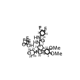 COc1ccc(C23CCC(NC(=O)Nc4ccc(F)c(F)c4)CC2N(C2CCOCC2)CC3)cc1OC.O=C(O)C(F)(F)F